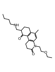 CCCCNCC1CCc2c(C)cc3c(c2C1=O)CCC(=O)N3CCOCC